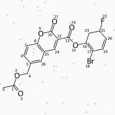 CC(=O)OCc1ccc2oc(=O)c(C(=O)OC3=C(Br)C=CC(F)C3)cc2c1